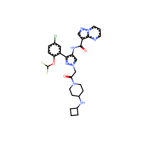 O=C(Nc1cn(CC(=O)N2CCC(NC3CCC3)CC2)nc1-c1cc(Cl)ccc1OC(F)F)c1cnn2cccnc12